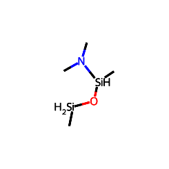 C[SiH2]O[SiH](C)N(C)C